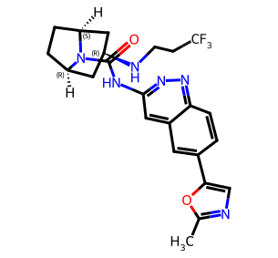 Cc1ncc(-c2ccc3nnc(NC(=O)N4[C@@H]5CC[C@H]4C[C@@H](NCCC(F)(F)F)C5)cc3c2)o1